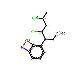 CCCCCCCCCCCC(c1cccc2c1O[N]2)C(Cl)CC(C)Cl